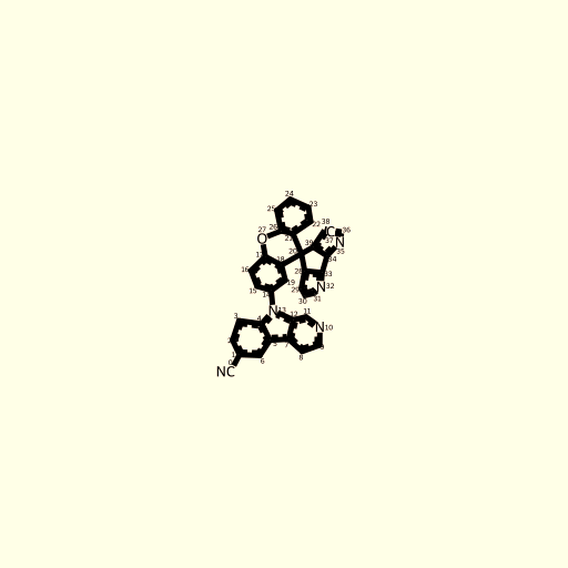 N#Cc1ccc2c(c1)c1ccncc1n2-c1ccc2c(c1)C1(c3ccccc3O2)c2cccnc2-c2ncccc21